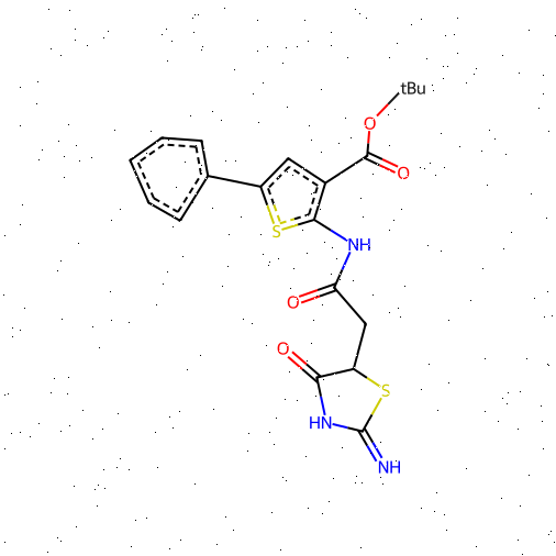 CC(C)(C)OC(=O)c1cc(-c2ccccc2)sc1NC(=O)CC1SC(=N)NC1=O